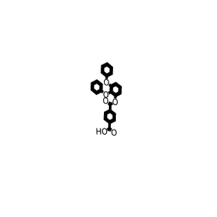 O=C(O)c1ccc(C(=O)Oc2cccc(Oc3ccccc3)c2Oc2ccccc2)cc1